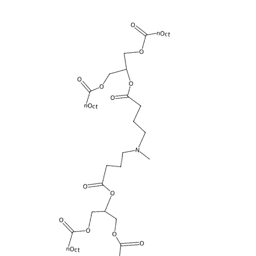 CCCCCCCCC(=O)OCC(COC(=O)CCCCCCCC)OC(=O)CCCN(C)CCCC(=O)OC(COC(=O)CCCCCCCC)COC(=O)CCCCCCCC